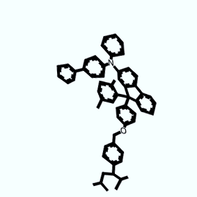 Cc1ccc(C)c(C2(c3ccc(OCc4ccc(C(CC(C)C)C(C)C)cc4)cc3)c3ccccc3-c3ccc(N(c4ccccc4)c4ccc(-c5ccccc5)cc4)cc32)c1